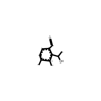 Cc1ccc(C=O)c(C(C)O)c1C